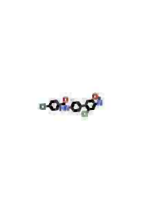 O=C(Nc1ccc(-c2cc3ocnc3cc2Cl)cc1)c1ccc(Cl)cc1